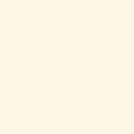 C=C(C)C1(OC(=O)C(C)C(=O)O)CCCCC1